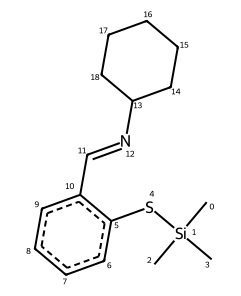 C[Si](C)(C)Sc1ccccc1C=NC1CCCCC1